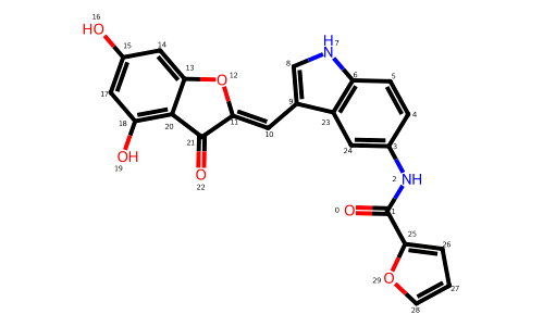 O=C(Nc1ccc2[nH]cc(C=C3Oc4cc(O)cc(O)c4C3=O)c2c1)c1ccco1